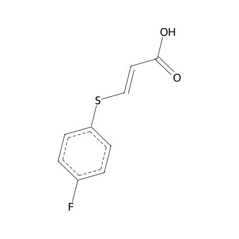 O=C(O)C=CSc1ccc(F)cc1